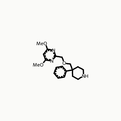 COc1cc(OC)nc(COCC2(c3ccccc3)CCNCC2)n1